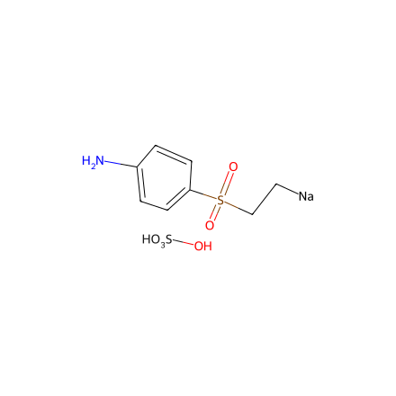 Nc1ccc(S(=O)(=O)C[CH2][Na])cc1.O=S(=O)(O)O